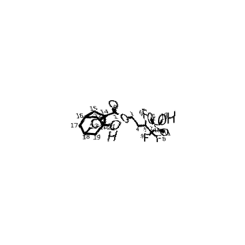 O=C(OCCC(F)C(F)(F)S(=O)(=O)O)C12CC3CC(CC1(O)C3)C2